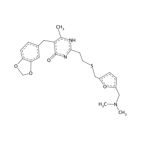 Cc1[nH]c(CCSCc2ccc(CN(C)C)o2)nc(=O)c1Cc1ccc2c(c1)OCO2